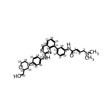 CN(C)C/C=C/C(=O)Nc1cccc(-c2cccc3cnc(Nc4ccc(N5CCOC(CO)C5)cc4)nc23)c1